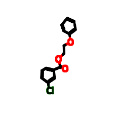 O=C(OCCOc1ccccc1)c1cccc(Cl)c1